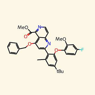 COC(=O)c1nccc2nc(-c3c(C)cc(C(C)(C)C)cc3Oc3ccc(F)cc3OC)cc(OCc3ccccc3)c12